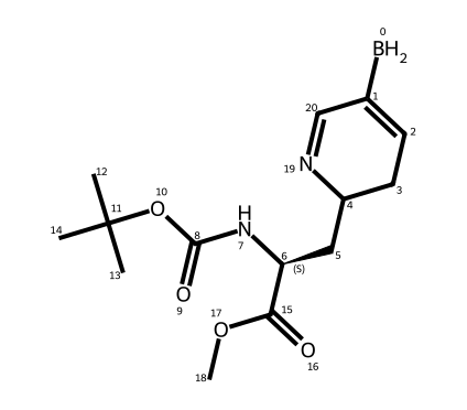 BC1=CCC(C[C@H](NC(=O)OC(C)(C)C)C(=O)OC)N=C1